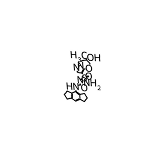 C[C@@]1(O)COc2c([S@](N)(=O)=NC(=O)Nc3c4c(cc5c3CCC5)CCC4)cnn2C1